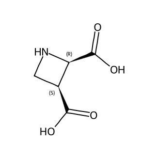 O=C(O)[C@H]1CN[C@H]1C(=O)O